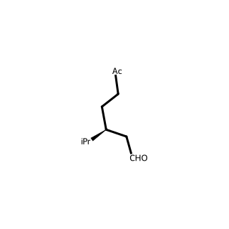 CC(=O)CC[C@@H](CC=O)C(C)C